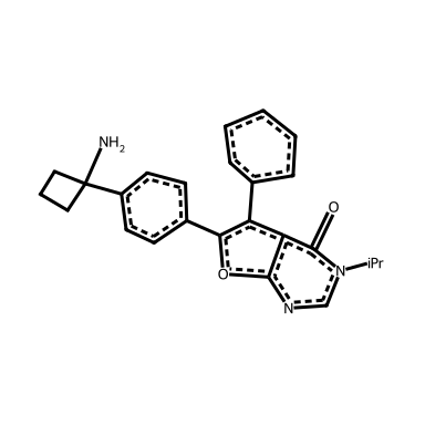 CC(C)n1cnc2oc(-c3ccc(C4(N)CCC4)cc3)c(-c3ccccc3)c2c1=O